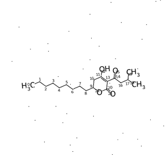 CCCCCCCCCC1CC(O)=C(C(=O)CC(C)C)C(=O)O1